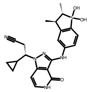 C[C@@H]1c2cc(Nc3nn([C@@H](CC#N)C4CC4)c4cc[nH]c(=O)c34)ccc2S(O)(O)[C@H]1C